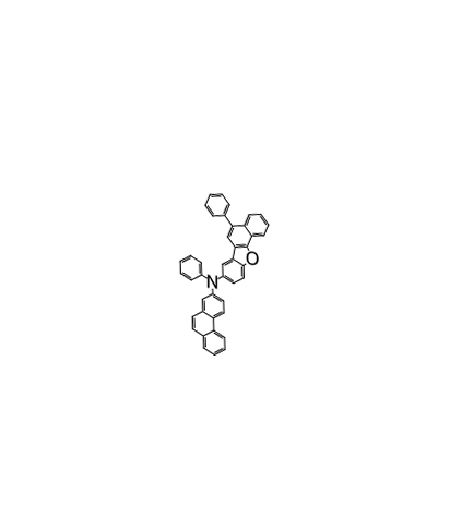 c1ccc(-c2cc3c4cc(N(c5ccccc5)c5ccc6c(ccc7ccccc76)c5)ccc4oc3c3ccccc23)cc1